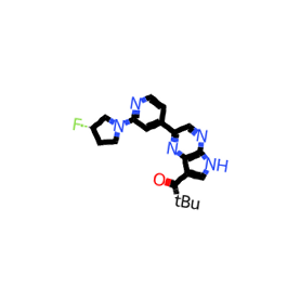 CC(C)(C)C(=O)c1c[nH]c2ncc(-c3ccnc(N4CC[C@H](F)C4)c3)nc12